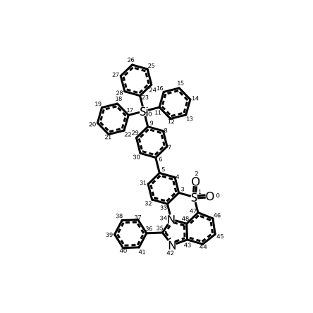 O=S1(=O)c2cc(-c3ccc([Si](c4ccccc4)(c4ccccc4)c4ccccc4)cc3)ccc2-n2c(-c3ccccc3)nc3cccc1c32